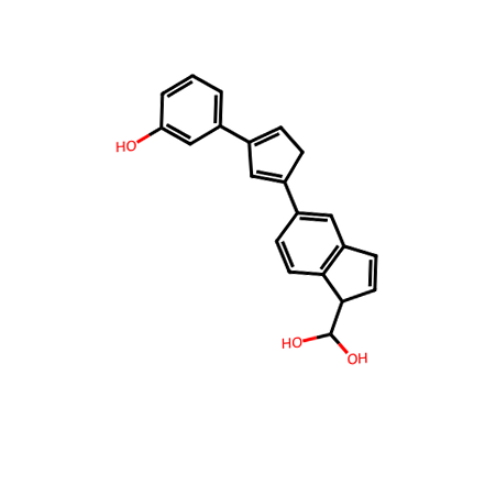 Oc1cccc(C2=CCC(c3ccc4c(c3)C=CC4C(O)O)=C2)c1